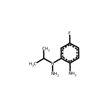 CC(C)N(N)c1cc(F)ccc1N